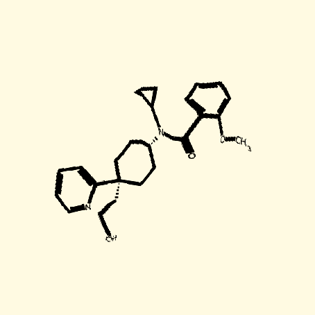 COc1ccccc1C(=O)N(C1CC1)[C@H]1CC[C@](CCO)(c2ccccn2)CC1